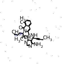 C=C(C)/C(=C\C=C/C)n1c(CNc2ncnc(N)c2C(=N)C#CCC)cc2cccc(C)c2c1=O